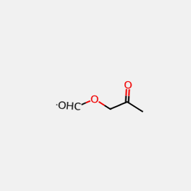 CC(=O)CO[C]=O